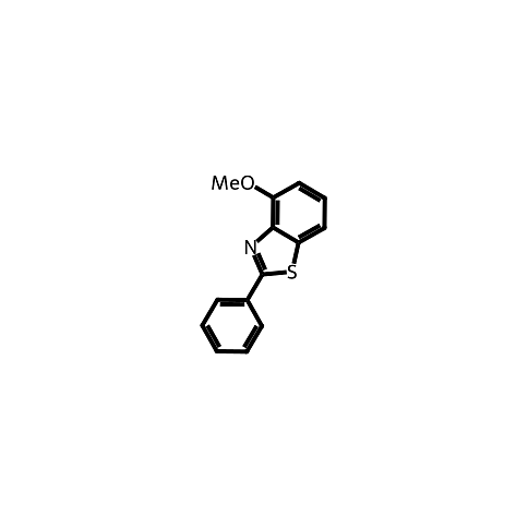 COc1cccc2sc(-c3ccccc3)nc12